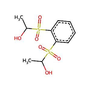 CC(O)S(=O)(=O)c1ccccc1S(=O)(=O)C(C)O